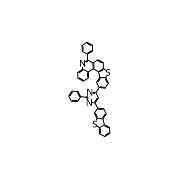 c1ccc(-c2nc(-c3ccc4c(c3)sc3ccccc34)cc(-c3ccc4sc5ccc6c(-c7ccccc7)nc7ccccc7c6c5c4c3)n2)cc1